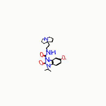 COc1ccc2c(c1)n(C(=O)NCCC13CCCN1CCC3)c(=O)n2C(C)C